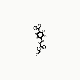 CCOC(=O)CCc1ccc(C(C)=O)cc1